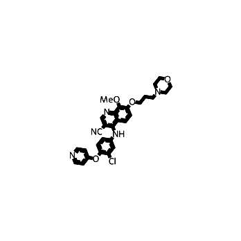 COc1c(OCCCN2CCOCC2)ccc2c(Nc3ccc(Oc4ccncc4)c(Cl)c3)c(C#N)cnc12